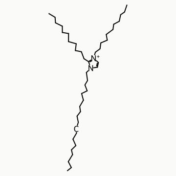 CCCCCCCCCCCCCCCCCCCn1cc[n+](CCCCCCCCCCC)c1CCCCCCCCCCC